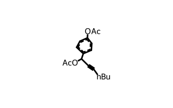 CCCCC#CC(OC(C)=O)c1ccc(OC(C)=O)cc1